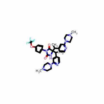 CC(c1ccnc(N2CCN(C)CC2)c1)C1(C(C)c2ccnc(N3CCN(C)CC3)c2)NC(=O)N(c2ccc(OC(F)(F)F)cc2)C1=O